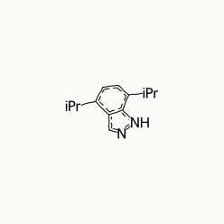 CC(C)c1ccc(C(C)C)c2[nH]ncc12